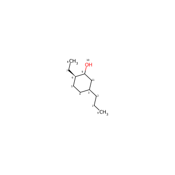 CCCC1CC[C@@H](CC)C(O)C1